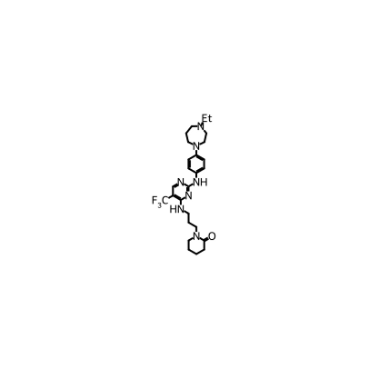 CCN1CCCN(c2ccc(Nc3ncc(C(F)(F)F)c(NCCCN4CCCCC4=O)n3)cc2)CC1